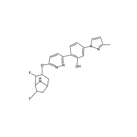 Cc1ccn(-c2ccc(-c3ccc(OC4CC5CC(F)C(N5)C4F)nn3)c(O)c2)n1